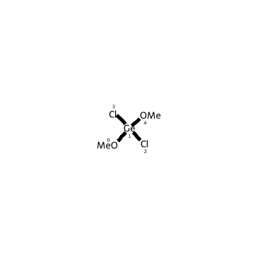 C[O][Ge]([Cl])([Cl])[O]C